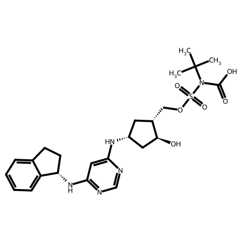 CC(C)(C)N(C(=O)O)S(=O)(=O)OC[C@H]1C[C@@H](Nc2cc(N[C@H]3CCc4ccccc43)ncn2)C[C@@H]1O